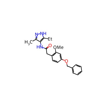 CCc1[nH]nc(C)c1NC(=O)Cc1ccc(OCc2ccccc2)cc1OC